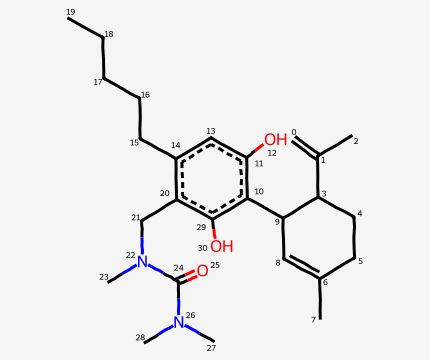 C=C(C)C1CCC(C)=CC1c1c(O)cc(CCCCC)c(CN(C)C(=O)N(C)C)c1O